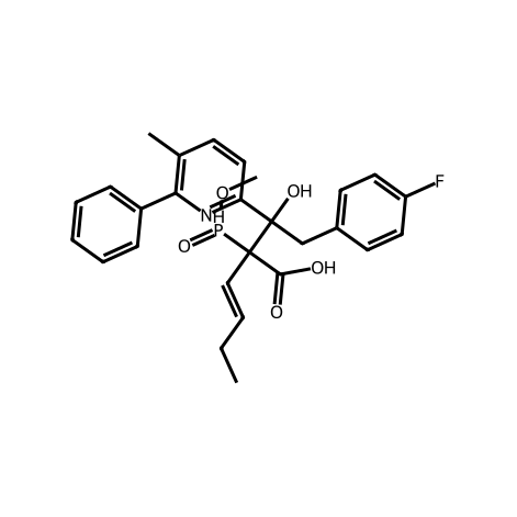 CCC=CC(C(=O)O)([PH](=O)OC)C(O)(Cc1ccc(F)cc1)c1ccc(C)c(-c2ccccc2)n1